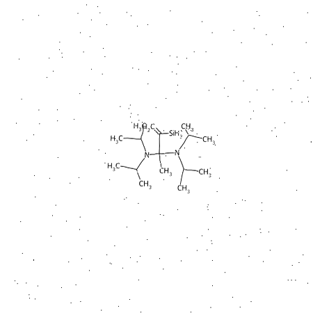 C=C([SiH3])C(C)(N(C(C)C)C(C)C)N(C(C)C)C(C)C